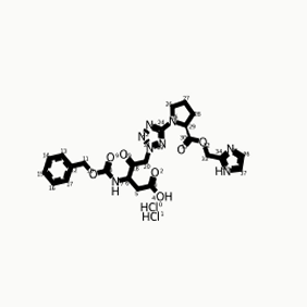 Cl.Cl.O=C(O)CC(NC(=O)OCc1ccccc1)C(=O)Cn1nnc(N2CCC[C@H]2C(=O)OCc2ncc[nH]2)n1